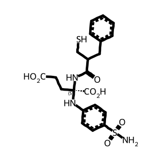 NS(=O)(=O)c1ccc(N[C@@](CCC(=O)O)(NC(=O)C(CS)Cc2ccccc2)C(=O)O)cc1